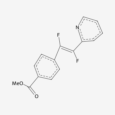 COC(=O)c1ccc(C(F)=C(F)c2ccccn2)cc1